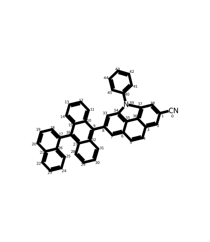 N#Cc1cc2ccc3cc(-c4c5ccccc5c(-c5cccc6ccccc56)c5ccccc45)cc4c3c2c(c1)n4-c1ccccc1